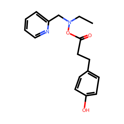 CCN(Cc1ccccn1)OC(=O)CCc1ccc(O)cc1